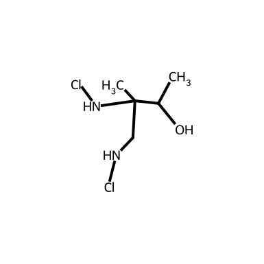 CC(O)C(C)(CNCl)NCl